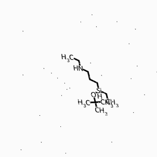 CCNCCC[SiH](CC)OC(C)(C)C